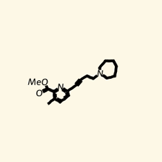 COC(=O)c1nc(C#CCCN2CCCCCC2)ccc1C